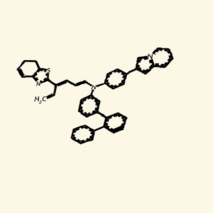 C=C/C(=C\C=C\N(c1ccc(-c2cc3ccccn3c2)cc1)c1cccc(-c2ccc#cc2-c2ccccc2)c1)c1nc2c(s1)CCC=C2